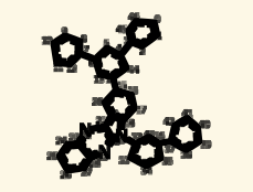 c1ccc(-c2cc(-c3ccccc3)cc(-c3ccc4c(c3)c3nc5ccccc5nc3n4-c3cccc(-c4ccccc4)c3)c2)cc1